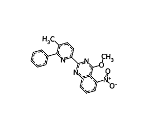 COc1nc(-c2ccc(C)c(-c3ccccc3)n2)nc2cccc([N+](=O)[O-])c12